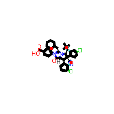 CC(C)(C)C[C@@H]1N2[C@H](CC3CCCCC3)N(c3ccc(C(=O)O)cc3)C(=O)[C@H]2[C@H](c2cccc(Cl)c2F)[C@@]1(C#N)c1ccc(Cl)cc1F